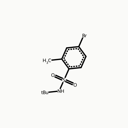 Cc1cc(Br)ccc1S(=O)(=O)NC(C)(C)C